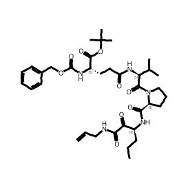 C=CCNC(=O)C(=O)[C@H](CCC)NC(=O)[C@@H]1CCCN1C(=O)[C@@H](NC(=O)CC[C@H](NC(=O)OCc1ccccc1)C(=O)OC(C)(C)C)C(C)C